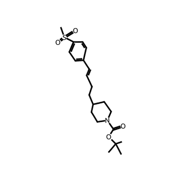 CC(C)(C)OC(=O)N1CCC(CCC=Cc2ccc(S(C)(=O)=O)cc2)CC1